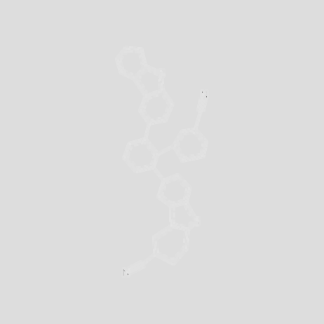 N#Cc1cccc(-c2c(-c3ccc4sc5ccccc5c4c3)cccc2-c2ccc3sc4ccc(C#N)cc4c3c2)c1